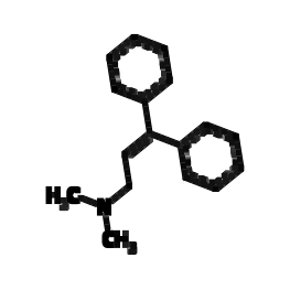 CN(C)CC=C(c1ccccc1)c1ccccc1